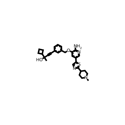 CN1CCC(c2ncc(-c3cnc(N)c(OCc4cccc(C#CC(C)(O)C5CCC5)c4)c3)s2)CC1